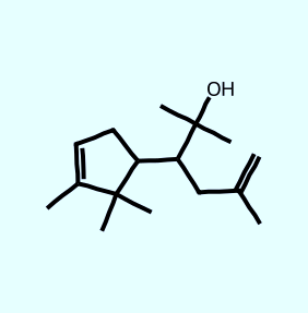 C=C(C)CC(C1CC=C(C)C1(C)C)C(C)(C)O